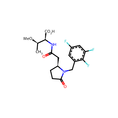 CO[C@H](C)[C@H](NC(=O)C[C@@H]1CCC(=O)N1Cc1cc(F)cc(F)c1F)C(=O)O